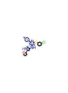 CN1CCN(c2nc(Nc3cc(-c4ccco4)[nH]n3)nc(Sc3cccc(Cl)c3)n2)CC1